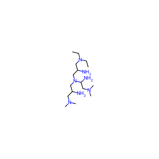 CCN(CC)CC(N)CN(CC(N)CN(C)C)C(N)CN(C)C